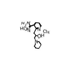 Cl.NC(=NO)c1cccnc1CC(O)CN1CCCCC1